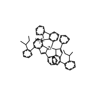 CCC(C)c1ccccc1-c1cccc2c1C=C(c1ccccc1)[CH]2[Zr]([c]1cccc2c1[SiH2]c1ccccc1-2)[CH]1C(c2ccccc2)=Cc2c(-c3ccccc3C(C)CC)cccc21